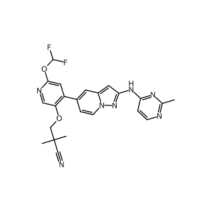 Cc1nccc(Nc2cc3cc(-c4cc(OC(F)F)ncc4OCC(C)(C)C#N)ccn3n2)n1